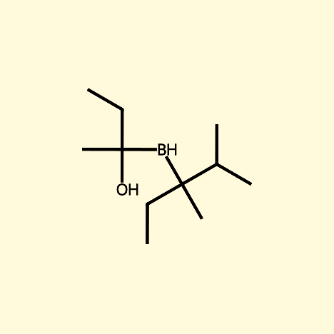 CCC(C)(O)BC(C)(CC)C(C)C